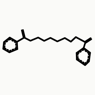 C=C(CCCCCCCCC(=C)c1ccccc1)c1ccccc1